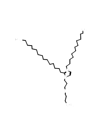 CCCCCCCCCCCCCCCc1n(CCCCCCCC)cc[n+]1CCCCCCCCCCCCC